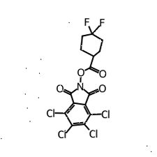 O=C(ON1C(=O)c2c(Cl)c(Cl)c(Cl)c(Cl)c2C1=O)C1CCC(F)(F)CC1